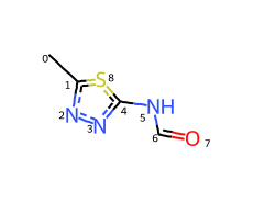 Cc1nnc(NC=O)s1